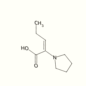 CC/C=C(\C(=O)O)N1CCCC1